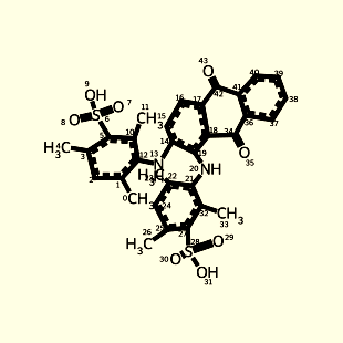 Cc1cc(C)c(S(=O)(=O)O)c(C)c1Nc1ccc2c(c1Nc1c(C)cc(C)c(S(=O)(=O)O)c1C)C(=O)c1ccccc1C2=O